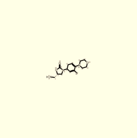 NC[C@H]1CN(C2C=C(F)C(N3CCOCC3)=CC2)C(=O)O1